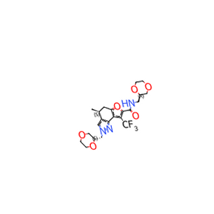 C[C@H]1Cc2oc(C(=O)NC[C@@H]3COCCO3)c(C(F)(F)F)c2-c2nn(C[C@H]3COCCO3)cc21